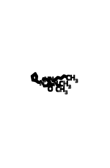 CCCCC1NC2(CCN(CC3CCCC3)CC2)C(=O)N1C(C)C